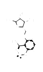 NC1=NS(=O)(=O)Nc2cccc(OC[C@H]3OC(O)[C@H](O)[C@H]3O)c21